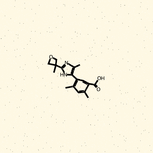 Cc1cc(C)c(-c2[nH]c(C3(C)COC3)nc2C)cc1C(=O)O